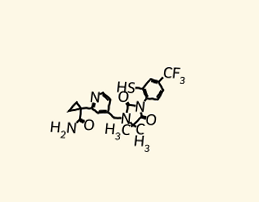 CC1(C)C(=O)N(c2ccc(C(F)(F)F)cc2S)C(=O)N1Cc1ccnc(C2(C(N)=O)CC2)c1